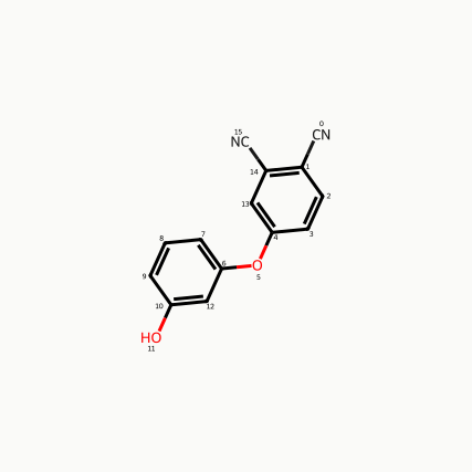 N#Cc1ccc(Oc2cccc(O)c2)cc1C#N